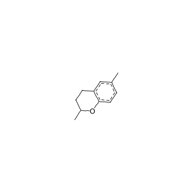 Cc1ccc2c(c1)CCC(C)O2